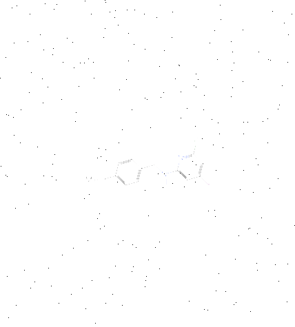 COc1ccc(CNc2cc(I)cc(Cl)n2)cc1